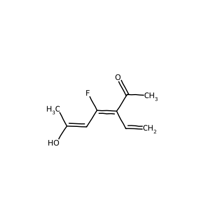 C=C/C(C(C)=O)=C(F)\C=C(/C)O